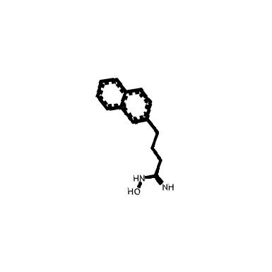 N=C(CCCc1ccc2ccccc2c1)NO